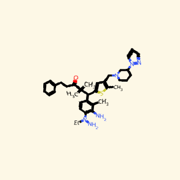 CCN(N)c1ccc(C(c2cc(CN3CCCC(n4cccn4)C3)c(C)s2)C(C)(C)C(=O)CCc2ccccc2)c(C)c1N